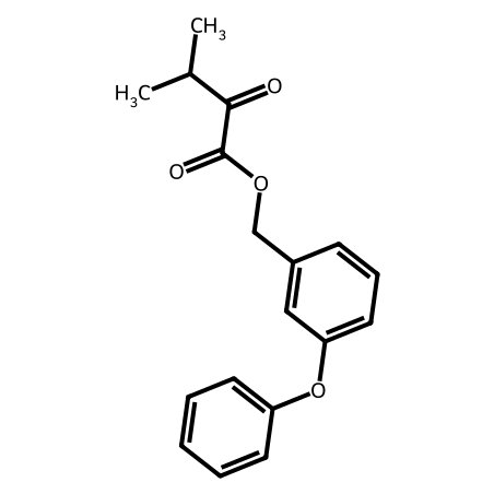 CC(C)C(=O)C(=O)OCc1cccc(Oc2ccccc2)c1